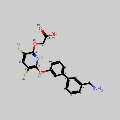 NCc1cccc(-c2cccc(Oc3nc(OCC(=O)O)c(F)cc3F)c2)c1